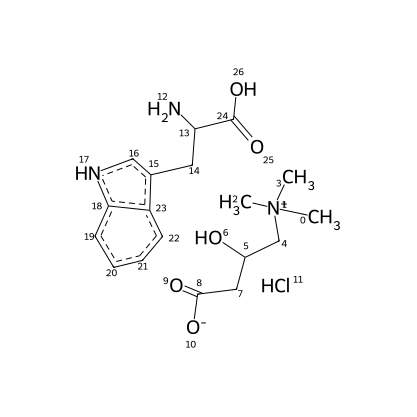 C[N+](C)(C)CC(O)CC(=O)[O-].Cl.NC(Cc1c[nH]c2ccccc12)C(=O)O